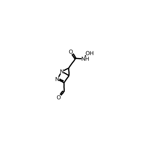 O=CC1=NN2C(C(=O)NO)C12